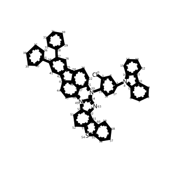 Clc1cc(-n2c3ccccc3c3ccccc32)ccc1-n1c2ccc3c4cc(-c5ccccc5)c(-c5ccccc5)cc4c4ccc(c2c34)n2c3ccc4sc5ccccc5c4c3nc12